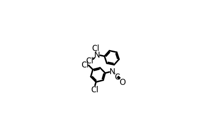 ClN(Cl)c1ccccc1.O=C=Nc1cc(Cl)cc(Cl)c1